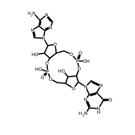 Nc1nc2c(ncn2C2OC3COP(=O)(O)OC4C(COP(=O)(O)OC2C3O)OC(n2cnc3c(N)ncnc32)C4O)c(=O)[nH]1